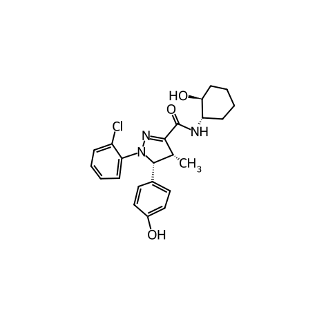 C[C@H]1C(C(=O)N[C@H]2CCCC[C@@H]2O)=NN(c2ccccc2Cl)[C@H]1c1ccc(O)cc1